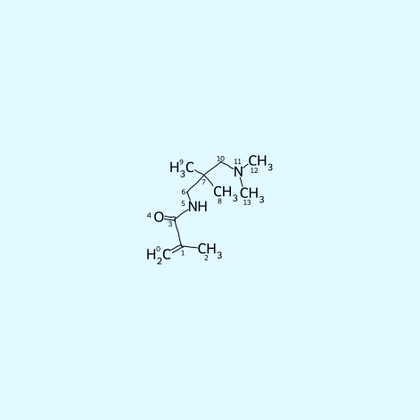 C=C(C)C(=O)NCC(C)(C)CN(C)C